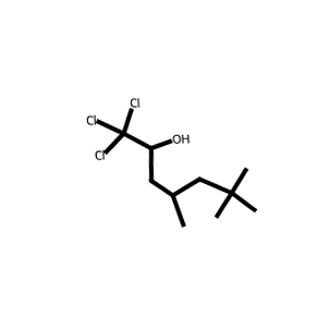 CC(CC(O)C(Cl)(Cl)Cl)CC(C)(C)C